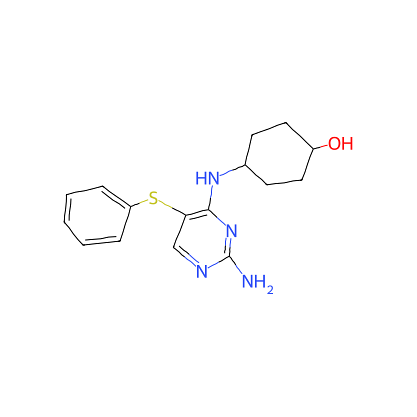 Nc1ncc(Sc2ccccc2)c(NC2CCC(O)CC2)n1